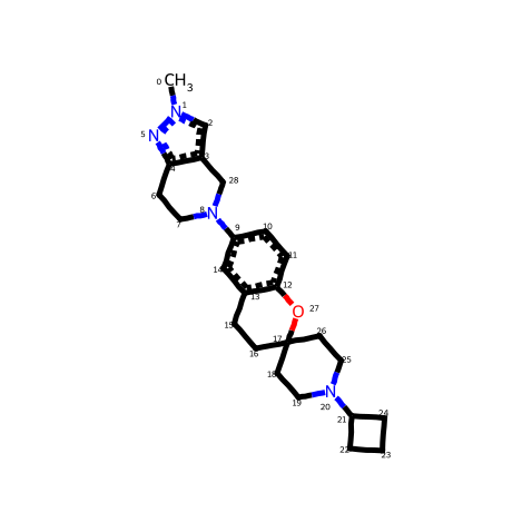 Cn1cc2c(n1)CCN(c1ccc3c(c1)CCC1(CCN(C4CCC4)CC1)O3)C2